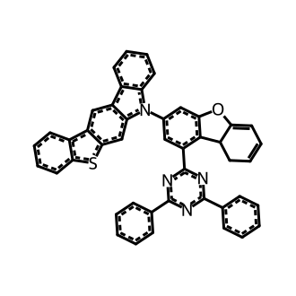 C1=CCC2C(=C1)Oc1cc(-n3c4ccccc4c4cc5c(cc43)sc3ccccc35)cc(-c3nc(-c4ccccc4)nc(-c4ccccc4)n3)c12